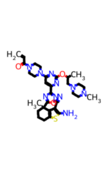 C=CC(=O)N1CCN(c2cc(-c3noc([C@@]4(C)CCCc5sc(N)c(C#N)c54)n3)nc(OC(C)CN3CCN(C)CC3)n2)CC1